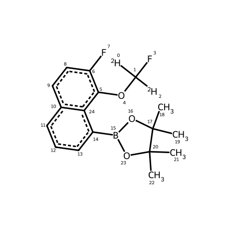 [2H]C([2H])(F)Oc1c(F)ccc2cccc(B3OC(C)(C)C(C)(C)O3)c12